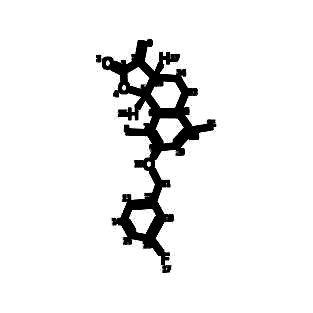 C=C1C(=O)O[C@H]2c3c(C)c(OCc4cccc(F)c4)cc(C)c3CC[C@@H]12